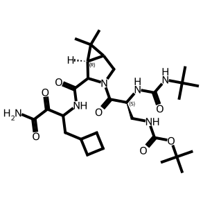 CC(C)(C)NC(=O)N[C@@H](CNC(=O)OC(C)(C)C)C(=O)N1CC2[C@@H](C1C(=O)NC(CC1CCC1)C(=O)C(N)=O)C2(C)C